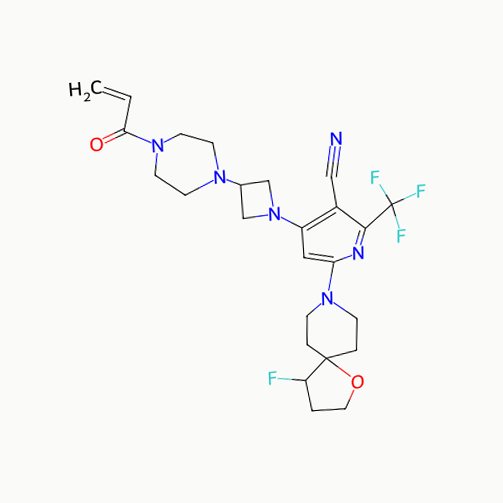 C=CC(=O)N1CCN(C2CN(c3cc(N4CCC5(CC4)OCCC5F)nc(C(F)(F)F)c3C#N)C2)CC1